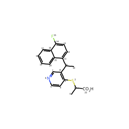 CC(Sc1ccncc1C(C)c1ccc(F)c2ccccc12)C(=O)O